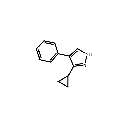 [c]1cccc(-c2c[nH]nc2C2CC2)c1